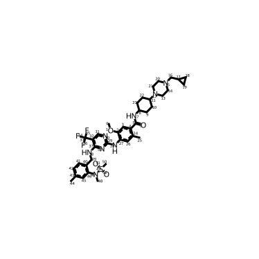 COc1cc(C(=O)NC2CCC(N3CCN(CC4CC4)CC3)CC2)c(C)cc1Nc1ncc(C(F)(F)F)c(NCc2ccc(C)cc2N(C)S(C)(=O)=O)n1